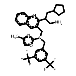 Cc1coc(N(Cc2cc(C(F)(F)F)cc(C(F)(F)F)c2)Cc2cc3ccccc3nc2C(CN)CC2CCCC2)n1